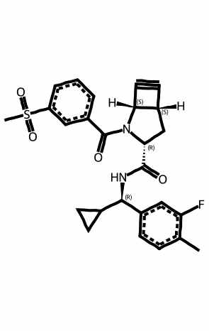 Cc1ccc([C@H](NC(=O)[C@H]2C[C@H]3C#C[C@H]3N2C(=O)c2cccc(S(C)(=O)=O)c2)C2CC2)cc1F